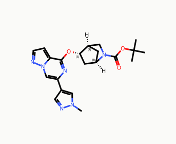 Cn1cc(-c2cn3nccc3c(O[C@H]3C[C@H]4C[C@@H]3CN4C(=O)OC(C)(C)C)n2)cn1